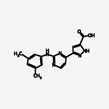 Cc1cc(C)cc(Nc2nccc(-c3cc(C(=O)O)[nH]n3)n2)c1